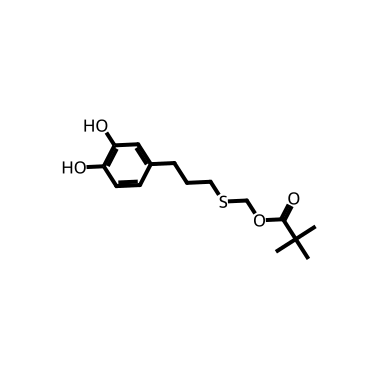 CC(C)(C)C(=O)OCSCCCc1ccc(O)c(O)c1